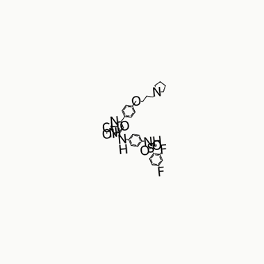 O=CO.O=S(=O)(Nc1ccc(Nc2cc(-c3ccc(OCCCN4CCCC4)cc3)ncn2)cc1)c1ccc(F)cc1F